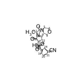 CC(C(=O)N1CCOCC1)N1CCC(NS(=O)(=O)c2cccc(C#N)c2)C1=O